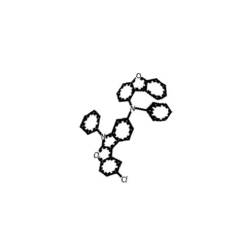 Clc1ccc2oc3c(c2c1)c1ccc(N(c2ccccc2)c2cccc4oc5ccccc5c24)cc1n3-c1ccccc1